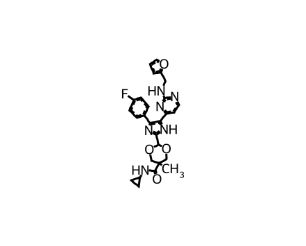 CC1(C(=O)NC2CC2)COC(c2nc(-c3ccc(F)cc3)c(-c3ccnc(NCc4ccco4)n3)[nH]2)OC1